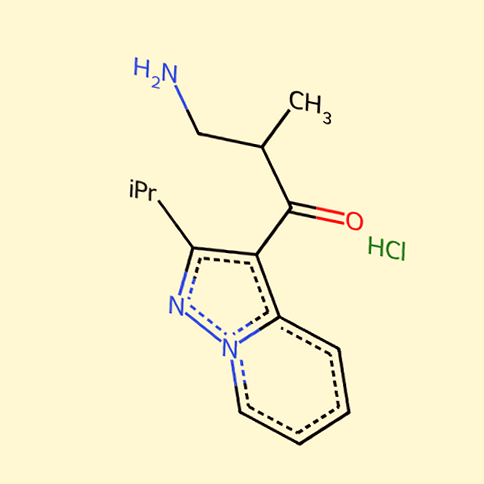 CC(CN)C(=O)c1c(C(C)C)nn2ccccc12.Cl